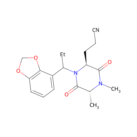 CCC(c1cccc2c1OCO2)N1C(=O)[C@@H](C)N(C)C(=O)[C@@H]1CCC#N